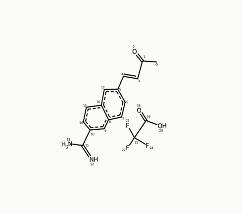 CC(=O)C=Cc1ccc2cc(C(=N)N)ccc2c1.O=C(O)C(F)(F)F